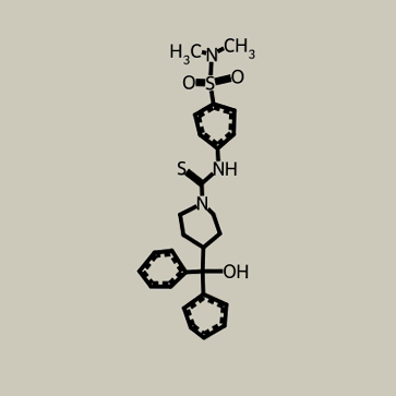 CN(C)S(=O)(=O)c1ccc(NC(=S)N2CCC(C(O)(c3ccccc3)c3ccccc3)CC2)cc1